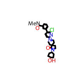 CNC(=O)c1cccc(-c2ccc(N3CCC4(CC3)CCN([C@H]3CC[C@@H](O)CC3)C4=O)nc2Cl)c1